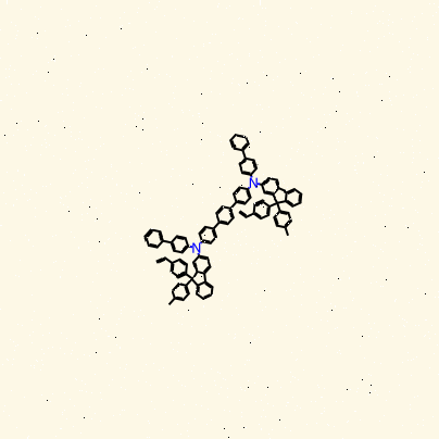 C=Cc1ccc(C2(c3ccc(C)cc3)c3ccccc3-c3ccc(N(c4ccc(-c5ccccc5)cc4)c4ccc(-c5ccc(-c6ccc(N(c7ccc(-c8ccccc8)cc7)c7ccc8c(c7)C(c7ccc(C)cc7)(c7ccc(C=C)cc7)c7ccccc7-8)cc6)cc5)cc4)cc32)cc1